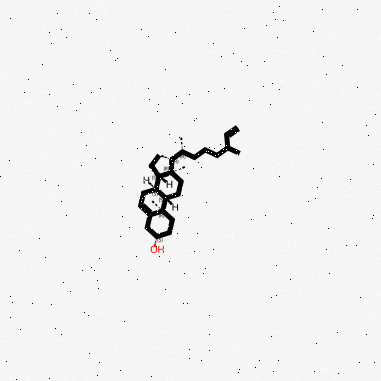 C=CC(C)CCC[C@@H](C)[C@H]1CC[C@H]2[C@@H]3CC=C4C[C@@H](O)CC[C@]4(C)[C@H]3CC[C@]12C